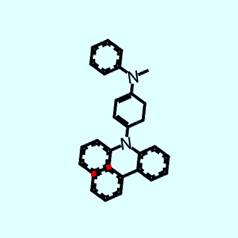 CN(C1=CC=C(N(c2ccccc2)c2ccccc2-c2ccccc2)CC1)c1ccccc1